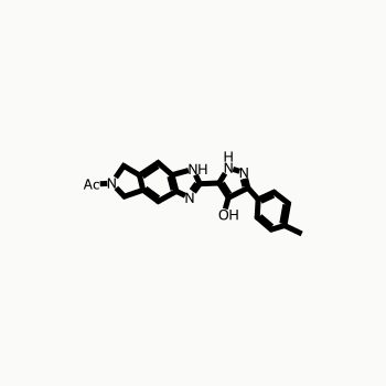 CC(=O)N1Cc2cc3nc(-c4[nH]nc(-c5ccc(C)cc5)c4O)[nH]c3cc2C1